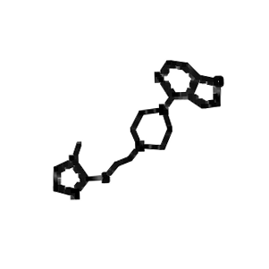 Cn1ccnc1SCCN1CCN(c2nccc3occc23)CC1